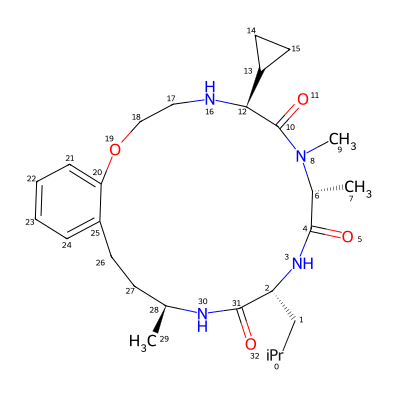 CC(C)C[C@H]1NC(=O)[C@@H](C)N(C)C(=O)[C@H](C2CC2)NCCOc2ccccc2CC[C@H](C)NC1=O